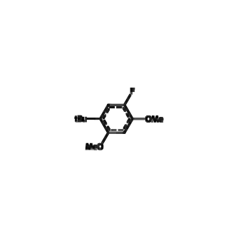 COc1cc(OC)c(C(C)(C)C)cc1F